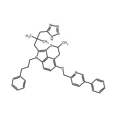 CC1Cc2c(OCc3ccc(-c4ccccc4)cn3)ccc3c2c(c(CC(C)(C)Cc2nnn[nH]2)n3CCCc2ccccc2)S1